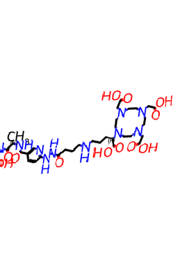 C[C@@H](NC(=O)c1ccc(NNC(=O)CCCNCCC[C@H](C(=O)O)N2CCN(CC(=O)O)CCN(CC(=O)O)CCN(CC(=O)O)CC2)nc1)C(=O)N1CCC[C@H]1B(O)O